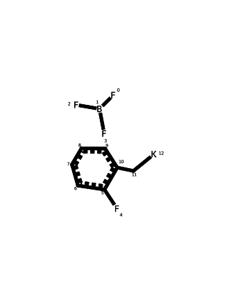 FB(F)F.Fc1ccccc1[CH2][K]